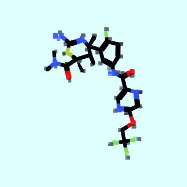 CC1[C@@](C)(C(=O)N(C)C)SC(N)=N[C@]1(C)c1cc(NC(=O)c2cnc(OCC(F)(F)F)cn2)ccc1F